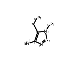 CCCc1nnn(C(C)C)c1CC(C)C